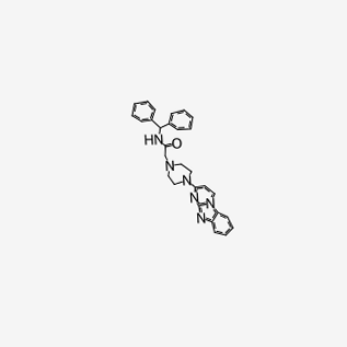 O=C(CN1CCN(c2ccn3c(n2)nc2ccccc23)CC1)NC(c1ccccc1)c1ccccc1